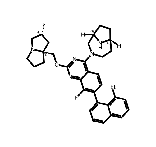 CCc1cccc2cccc(-c3ccc4c(N5CC[C@H]6CC[C@@H](C5)N6)nc(OC[C@@]56CCCN5C[C@H](C)C6)nc4c3F)c12